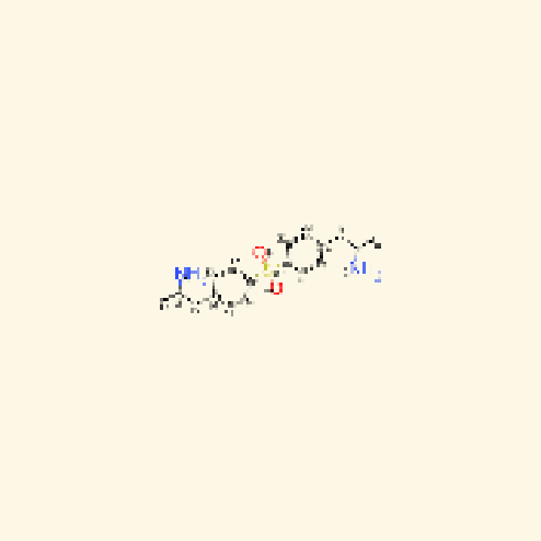 C[C@@H](N)Cc1ccc(S(=O)(=O)c2ccc(C[C@@H](C)N)cc2)cc1